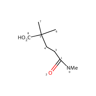 CNC(=O)CCC(C)(C)C(=O)O